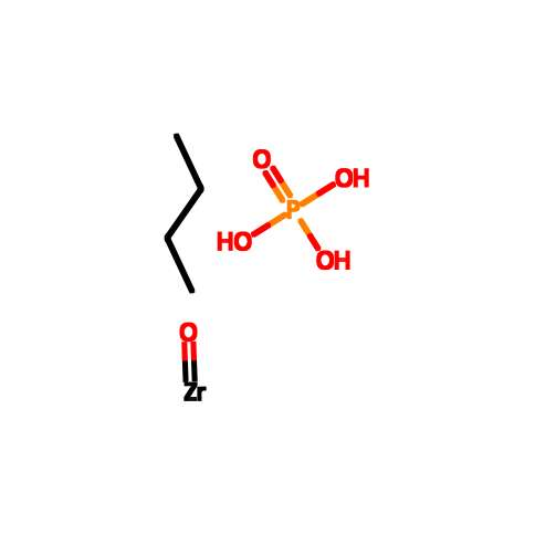 CCCC.O=P(O)(O)O.[O]=[Zr]